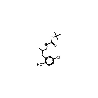 CC(CNC(=O)OC(C)(C)C)Cc1cc(Cl)ccc1O